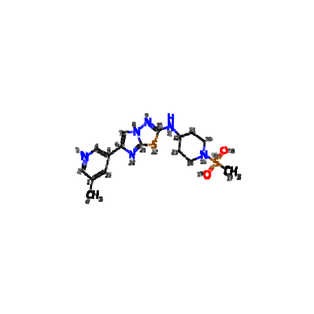 Cc1cncc(-c2cn3nc(NC4CCN(S(C)(=O)=O)CC4)sc3n2)c1